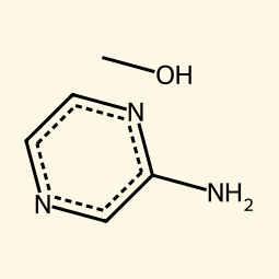 CO.Nc1cnccn1